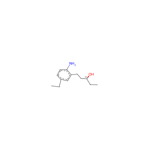 CCc1ccc(N)c(CC[C@@H](O)CC)c1